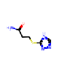 NC(=O)CCSc1nnc[nH]1